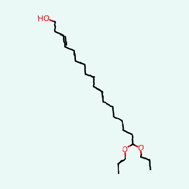 CCCOC(CCCCCCCCCCCCC/C=C/CCO)OCCC